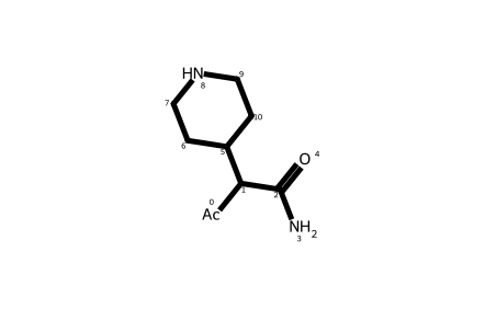 CC(=O)C(C(N)=O)C1CCNCC1